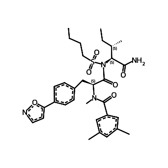 CCCCS(=O)(=O)N(C(=O)[C@H](Cc1ccc(-c2ccno2)cc1)N(C)C(=O)c1cc(C)cc(C)c1)[C@H](C(N)=O)[C@@H](C)CC